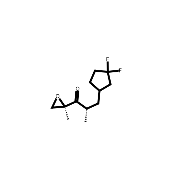 C[C@@H](CC1CCC(F)(F)C1)C(=O)[C@@]1(C)CO1